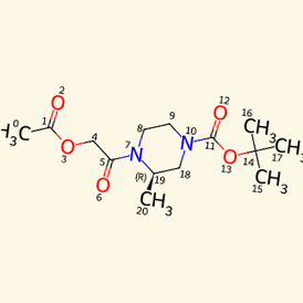 CC(=O)OCC(=O)N1CCN(C(=O)OC(C)(C)C)C[C@H]1C